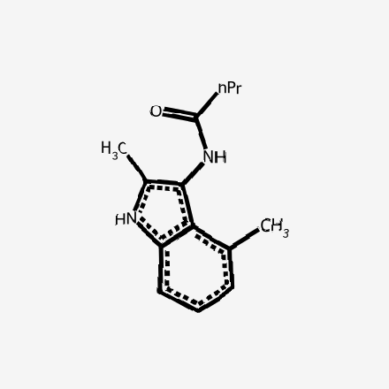 CCCC(=O)Nc1c(C)[nH]c2cccc(C)c12